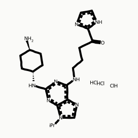 CC(C)n1cnc2c(NCCCC(=O)c3ncc[nH]3)nc(N[C@H]3CC[C@H](N)CC3)nc21.Cl.Cl.Cl